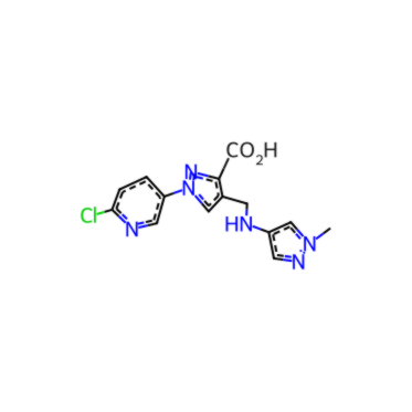 Cn1cc(NCc2cn(-c3ccc(Cl)nc3)nc2C(=O)O)cn1